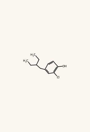 CCC(CC)Cc1ccc(O)c(Cl)c1